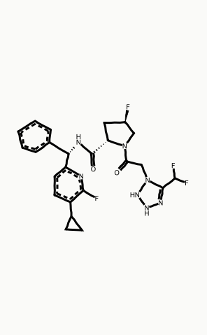 O=C(N[C@@H](c1ccccc1)c1ccc(C2CC2)c(F)n1)[C@@H]1C[C@@H](F)CN1C(=O)CN1NNN=C1C(F)F